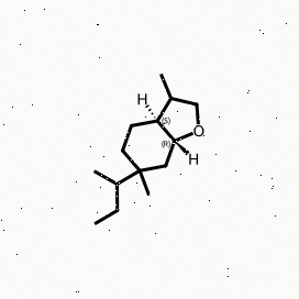 CCC(C)C1(C)CC[C@H]2C(C)CO[C@@H]2C1